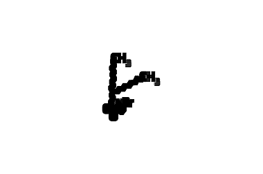 CCCCCCCCCCC(CCCCCCCCCC)CCCN1C(=O)C(=O)c2ccc(Br)nc21